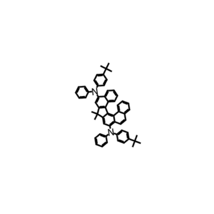 CC(C)(C)c1ccc(N(c2ccccc2)c2cc3c(c4ccccc24)-c2c(cc(N(c4ccccc4)c4ccc(C(C)(C)C)cc4)c4ccc5ccccc5c24)C3(C)C)cc1